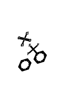 FC(F)(F)c1ccccc1.O=S(=O)(Cl)Cl.c1ccccc1